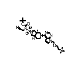 CC(C)(C)OC(=O)N(CC#N)S(=O)(=O)N1C[C@H]2CCN(c3ncnc4c3ccn4COCC[Si](C)(C)C)C[C@@]2(C)C1